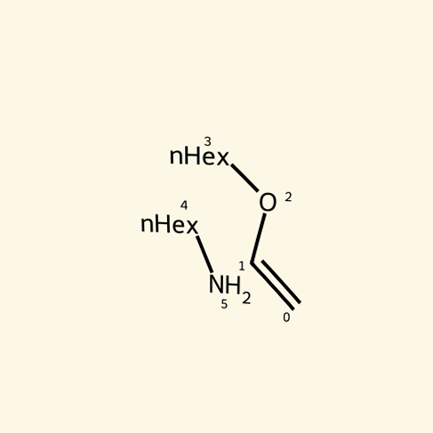 C=COCCCCCC.CCCCCCN